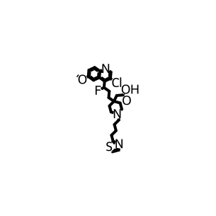 COc1ccc2ncc(Cl)c(C(F)CCC3(CC(=O)O)CCN(CCCCc4nccs4)CC3)c2c1